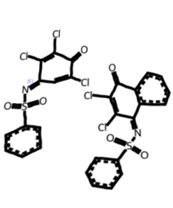 O=C1C(Cl)=C(Cl)C(=NS(=O)(=O)c2ccccc2)c2ccccc21.O=C1C(Cl)=C/C(=N\S(=O)(=O)c2ccccc2)C(Cl)=C1Cl